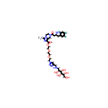 N[C@@H](CC(=O)N1CCn2c(C(F)(F)F)nc(C(=O)OCCOCCOCCn3cc(CNC[C@H](O)[C@@H](O)[C@H](O)[C@H](O)CO)nn3)c2C1)Cc1cc(F)c(F)cc1F